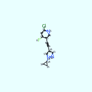 Fc1cc(Cl)ncc1C#Cc1cnn(C2CC2)c1